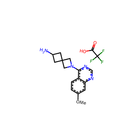 COc1ccc2c(N3CC4(CC(N)C4)C3)ncnc2c1.O=C(O)C(F)(F)F